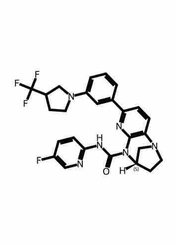 O=C(Nc1ccc(F)cn1)N1c2nc(-c3cccc(N4CCC(C(F)(F)F)C4)c3)ccc2N2CC[C@H]1C2